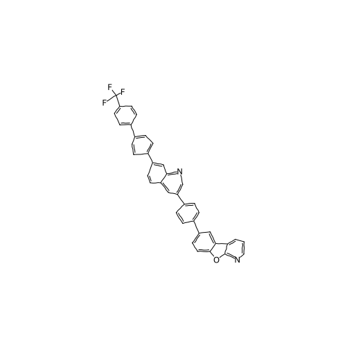 FC(F)(F)c1ccc(-c2ccc(-c3ccc4cc(-c5ccc(-c6ccc7oc8ncccc8c7c6)cc5)cnc4c3)cc2)cc1